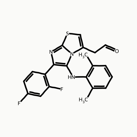 Cc1cccc(C)c1Nc1c(-c2ccc(F)cc2F)nc2scc(CC=O)n12